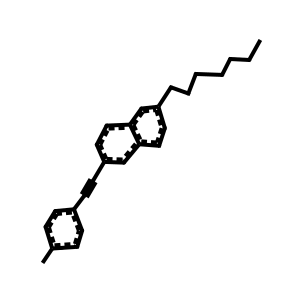 CCCCCCCc1ccc2cc(C#Cc3ccc(C)cc3)ccc2c1